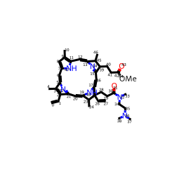 C=CC1=C(C)c2cc3cc(C)c(cc4nc(cc5[nH]c(cc1n2)C(C)C5(C=C)CCC(=O)N(C)CCN(C)C)C(CCC(=O)OC)C4C)[nH]3